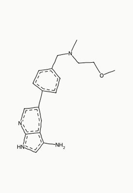 COCCN(C)Cc1ccc(-c2cnc3[nH]cc(N)c3c2)cc1